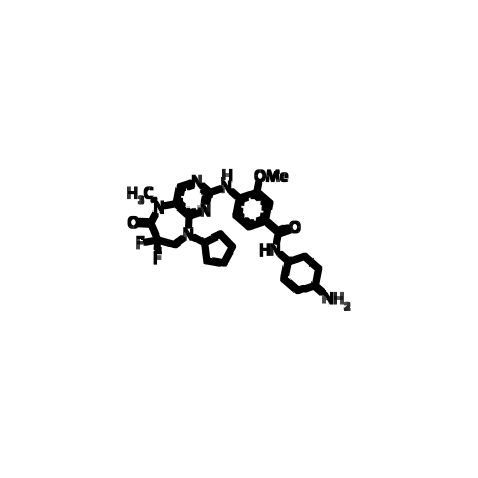 COc1cc(C(=O)NC2CCC(N)CC2)ccc1Nc1ncc2c(n1)N(C1CCCC1)CC(F)(F)C(=O)N2C